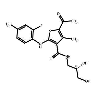 CC(=O)c1sc(Nc2ccc(C)cc2F)c(C(=O)NC[C@H](O)CO)c1C